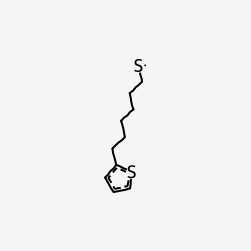 [S]CCCCCCc1cccs1